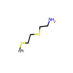 CCCSCCSCCN